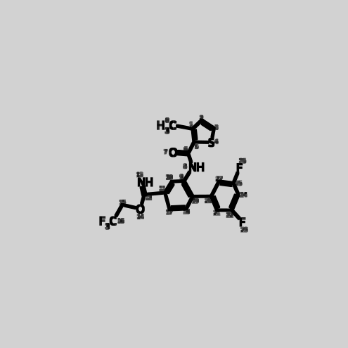 Cc1ccsc1C(=O)Nc1cc(C(=N)OCC(F)(F)F)ccc1-c1cc(F)cc(F)c1